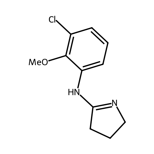 COc1c(Cl)cccc1NC1=NCCC1